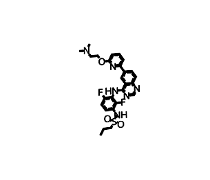 CCCS(=O)(=O)Nc1ccc(F)c(Nc2ncnc3ccc(-c4cccc(OCCN(C)C)n4)cc23)c1F